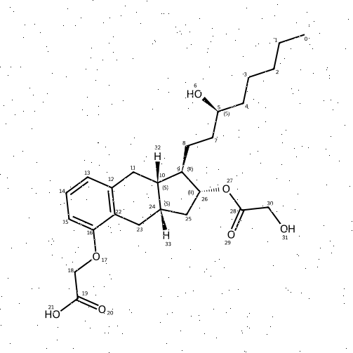 CCCCC[C@H](O)CC[C@@H]1[C@H]2Cc3cccc(OCC(=O)O)c3C[C@H]2C[C@H]1OC(=O)CO